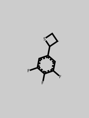 Fc1cc(C2[CH]CS2)cc(F)c1F